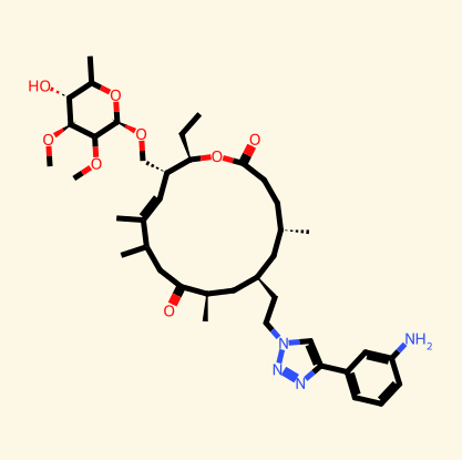 CC[C@H]1OC(=O)CC[C@H](C)C[C@@H](CCn2cc(-c3cccc(N)c3)nn2)C[C@@H](C)C(=O)CC(C)/C(C)=C/[C@@H]1CO[C@@H]1OC(C)[C@@H](O)[C@H](OC)C1OC